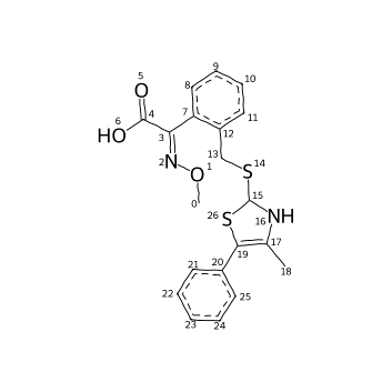 CO/N=C(/C(=O)O)c1ccccc1CSC1NC(C)=C(c2ccccc2)S1